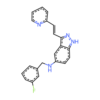 Fc1cccc(CNc2ccc3[nH]nc(/C=C/c4ccccn4)c3c2)c1